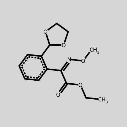 CCOC(=O)C(=NOC)c1ccccc1C1OCCO1